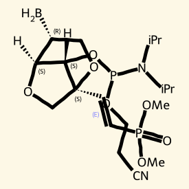 B[C@@H]1CO[C@@]2(/C=C/P(=O)(OC)OC)CO[C@@H]1[C@@H]2OP(OCCC#N)N(C(C)C)C(C)C